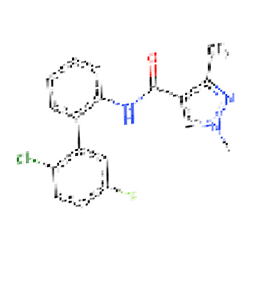 Cn1cc(C(=O)Nc2ccccc2-c2cc(F)ccc2Cl)c(C(F)(F)F)n1